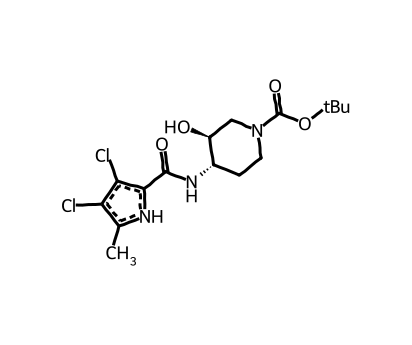 Cc1[nH]c(C(=O)N[C@H]2CCN(C(=O)OC(C)(C)C)C[C@@H]2O)c(Cl)c1Cl